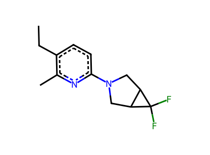 CCc1ccc(N2CC3C(C2)C3(F)F)nc1C